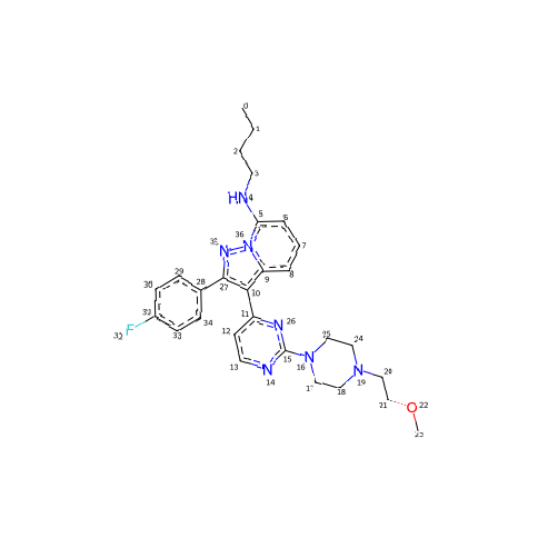 CCCCNc1cccc2c(-c3ccnc(N4CCN(CCOC)CC4)n3)c(-c3ccc(F)cc3)nn12